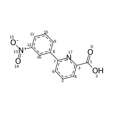 O=C(O)c1cccc(-c2cccc([N+](=O)[O-])c2)n1